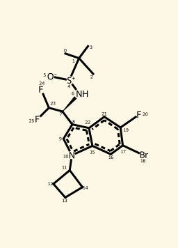 CC(C)(C)[S+]([O-])N[C@@H](c1cn(C2CCC2)c2cc(Br)c(F)cc12)C(F)F